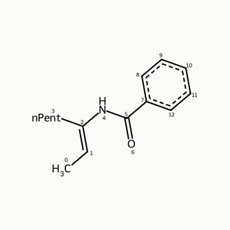 CC=C(CCCCC)NC(=O)c1ccccc1